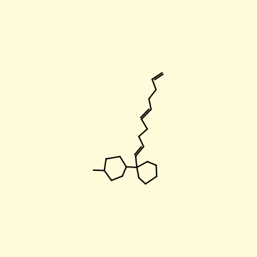 C=CCC/C=C/CC/C=C/C1(C2CCC(C)CC2)CCCCC1